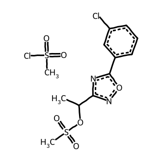 CC(OS(C)(=O)=O)c1noc(-c2cccc(Cl)c2)n1.CS(=O)(=O)Cl